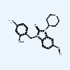 CCOc1ccc2c(c1)n(C1CCOCC1)c(=O)n2Cc1ccc([N+](=O)[O-])cc1OC